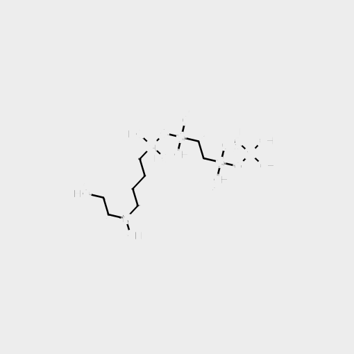 CN(CCO)CCCC[Si](C)(C)O[Si](C)(C)CC[Si](C)(C)O[Si](C)(C)C